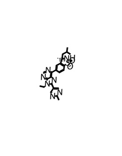 CCn1c(-c2cnc(C)nc2)nc2c(-c3ccc4c(c3)[C@@](C)(CC(C)C)NS4(=O)=O)ncnc21